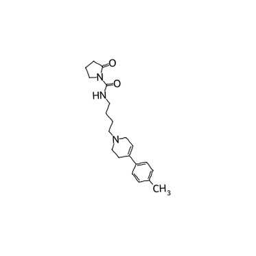 Cc1ccc(C2=CCN(CCCCNC(=O)N3CCCC3=O)CC2)cc1